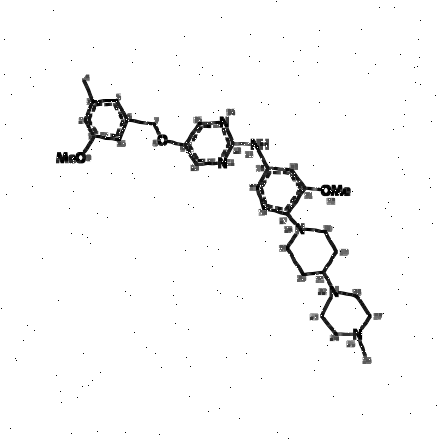 COc1cc(C)cc(COc2cnc(Nc3ccc(N4CCC(N5CCN(C)CC5)CC4)c(OC)c3)nc2)c1